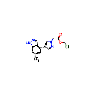 O=C(Cn1cc(-c2cc(C(F)(F)F)cc3[nH]ncc23)cn1)OCCl